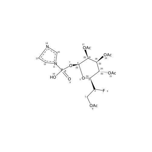 CC(=O)OCC(F)[C@H]1O[C@@H](OP(=O)(O)n2ccnc2)[C@@H](OC(C)=O)[C@@H](OC(C)=O)[C@@H]1OC(C)=O